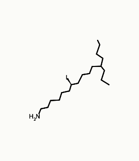 CCCCC(CCC)CCCC[C@H](I)CCCCCCN